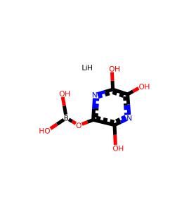 OB(O)Oc1nc(O)c(O)nc1O.[LiH]